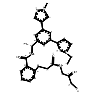 CCn1ccc(-c2cc(-c3cnn(C)c3)cc([C@@H](C)NC(=O)c3ccccc3CCC(=O)NCC(=O)CF)c2)n1